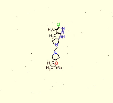 Cc1c(Cl)nnc(N[C@@H]2CCCN(CCN3CCC(O[Si](C)(C)C(C)(C)C)CC3)C2)c1C